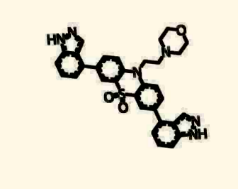 O=S1(=O)c2cc(-c3cccc4[nH]ncc34)ccc2N(CCN2CCOCC2)c2ccc(-c3cccc4[nH]ncc34)cc21